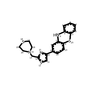 c1ccc2c(c1)Nc1cc(-c3csc(CN4CCSCC4)n3)ccc1S2